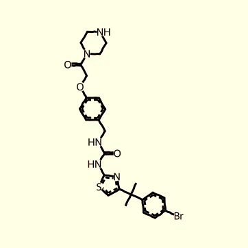 CC(C)(c1ccc(Br)cc1)c1csc(NC(=O)NCc2ccc(OCC(=O)N3CCNCC3)cc2)n1